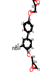 CCCCc1cc(-c2ccc(OCC3CO3)cc2)ccc1OCC1CO1